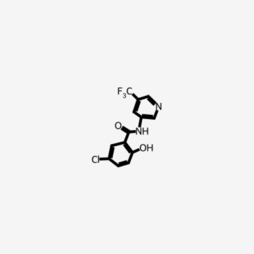 O=C(Nc1cncc(C(F)(F)F)c1)c1cc(Cl)ccc1O